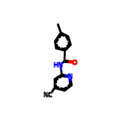 Cc1ccc(C(=O)Nc2cc(C#N)ccn2)cc1